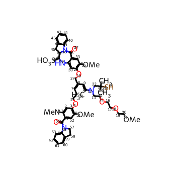 CNc1cc(OCC/C=C(\C=C(/C)N(CCOCCOCCOC)CC(C)(C)S)COc2cc3c(cc2OC)C(=O)N2c4ccccc4CC2C(S(=O)(=O)O)N3)c(OC)cc1C(=O)N1CCc2ccccc21